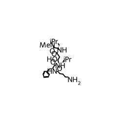 CNC(=O)[C@H](CC(C)C)NC(=O)C[C@H](O)[C@H](CC(C)C)NC(=O)[C@H](Cc1ccccc1)NC(=O)CCCCN